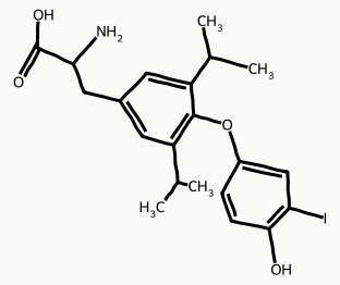 CC(C)c1cc(CC(N)C(=O)O)cc(C(C)C)c1Oc1ccc(O)c(I)c1